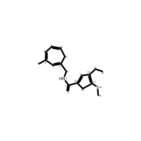 C=C(NCC1=CC(C)=CC=CC1)C1=CC(CC)=C(SC)C1